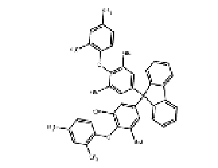 CC(C)(C)c1cc(C2(c3cc(C(C)(C)C)c(Oc4ccc(N)cc4C(F)(F)F)c(C(C)(C)C)c3)c3ccccc3-c3ccccc32)cc(C(C)(C)C)c1Oc1ccc(N)cc1C(F)(F)F